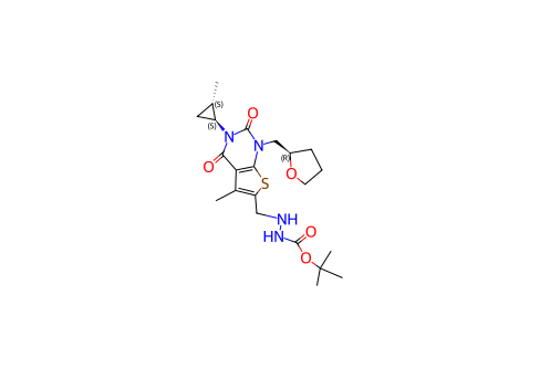 Cc1c(CNNC(=O)OC(C)(C)C)sc2c1c(=O)n([C@H]1C[C@@H]1C)c(=O)n2C[C@H]1CCCO1